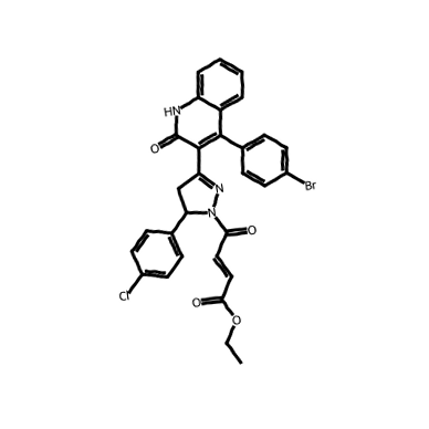 CCOC(=O)/C=C/C(=O)N1N=C(c2c(-c3ccc(Br)cc3)c3ccccc3[nH]c2=O)CC1c1ccc(Cl)cc1